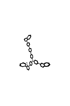 c1ccc2cc(-c3ccc(N(c4ccc(-c5ccc(-c6ccc(-c7cccc8ccccc78)cc6)cc5)cc4)c4ccc(-c5cccc6c5oc5ccccc56)cc4)cc3)ccc2c1